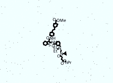 CCCOC(=O)CCC(=O)N(CCN(Cc1cccc(C(=O)Nc2sc3c(c2C(=O)Nc2ccc(CCc4ccc(C(=O)OC)cc4)cc2)CCCC3)c1)C(CC)CC)C1CC1